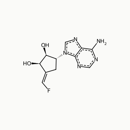 Nc1ncnc2c1ncn2[C@@H]1C/C(=C\F)[C@@H](O)[C@H]1O